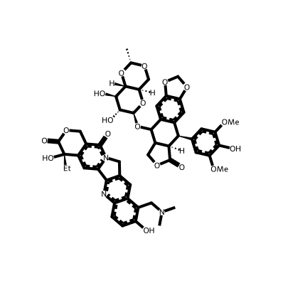 CC[C@@]1(O)C(=O)OCc2c1cc1n(c2=O)Cc2cc3c(CN(C)C)c(O)ccc3nc2-1.COc1cc([C@@H]2c3cc4c(cc3C(O[C@@H]3O[C@@H]5CO[C@@H](C)O[C@H]5[C@H](O)[C@H]3O)C3COC(=O)[C@@H]32)OCO4)cc(OC)c1O